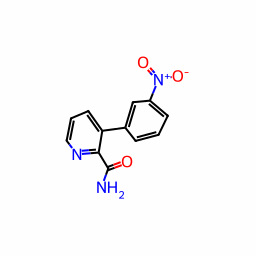 NC(=O)c1ncccc1-c1cccc([N+](=O)[O-])c1